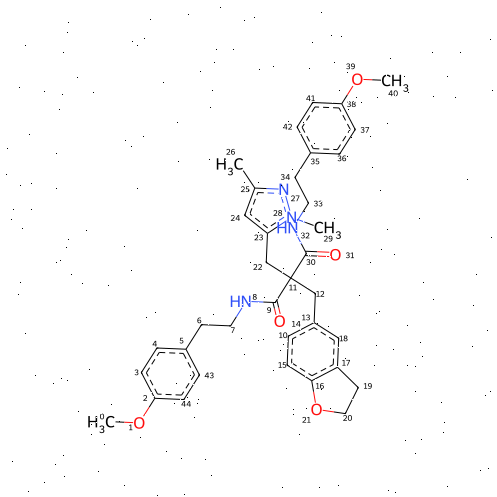 COc1ccc(CCNC(=O)C(Cc2ccc3c(c2)CCO3)(Cc2cc(C)nn2C)C(=O)NCCc2ccc(OC)cc2)cc1